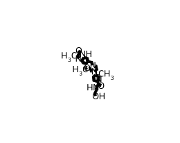 COc1cc2nc(C)c(=O)[nH]c2cc1CN1CCN(c2ccc(C(=O)NCCO)nc2C)CC1